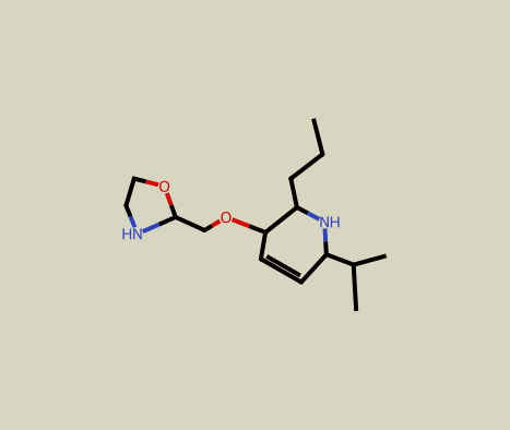 CCCC1NC(C(C)C)C=CC1OCC1NCCO1